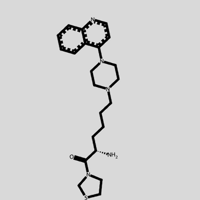 N[C@@H](CCCCN1CCN(c2ccnc3ccccc23)CC1)C(=O)N1CCSC1